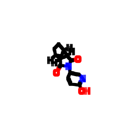 O=C1[C@@H]2[C@@H]3CC[C@@H](C3)[C@@H]2C(=O)N1c1ccc(O)nc1